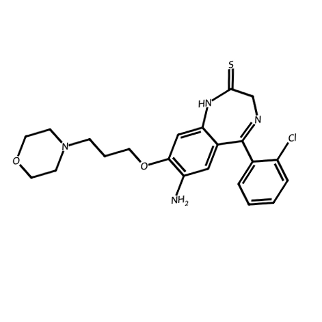 Nc1cc2c(cc1OCCCN1CCOCC1)NC(=S)CN=C2c1ccccc1Cl